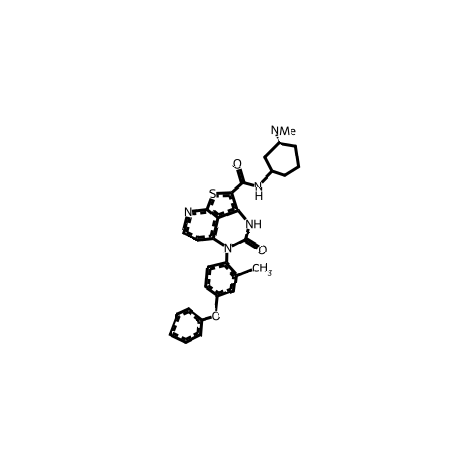 CN[C@@H]1CCCC(NC(=O)c2sc3nccc4c3c2NC(=O)N4c2ccc(Oc3ccccc3)cc2C)C1